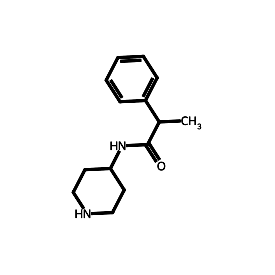 CC(C(=O)NC1CCNCC1)c1ccccc1